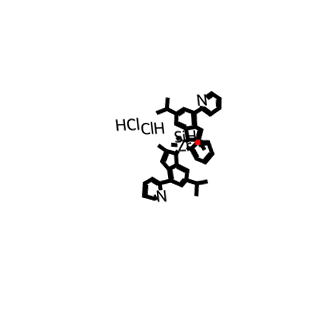 CC1=Cc2c(-c3ccccn3)cc(C(C)C)cc2[CH]1[Zr]([CH3])(=[SiH2])([c]1ccccc1)[CH]1C(C)=Cc2c(-c3ccccn3)cc(C(C)C)cc21.Cl.Cl